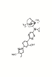 C[C@]12CC[C@](C)(N1)[C@H](F)[C@H](N(c1cnc(-c3ccc(-n4cc(F)c(C#N)n4)cc3O)nn1)C1CC1)C2